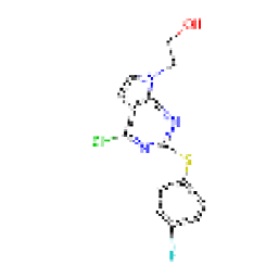 OCCn1ccc2c(Cl)nc(Sc3ccc(F)cc3)nc21